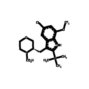 C[Si](C)(C)c1[nH]c2c(OC(F)(F)F)cc(Cl)cc2c1C[C@H]1COCCN1C(=O)O